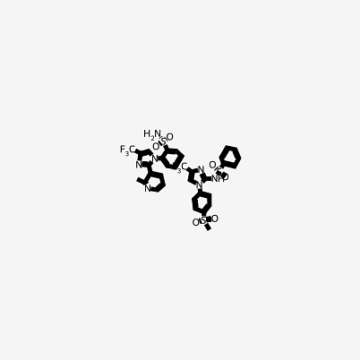 CS(=O)(=O)c1ccc(-n2cc(C(F)(F)F)nc2NS(=O)(=O)c2ccccc2)cc1.Cc1ncccc1-c1nc(C(F)(F)F)cn1-c1ccccc1S(N)(=O)=O